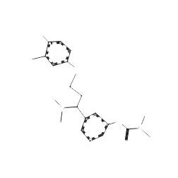 CN(C)C(=O)Oc1cccc(C(CCOc2ccc(F)c(Cl)c2)N(C)C)c1.Cl